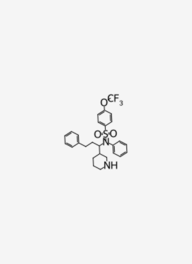 O=S(=O)(c1ccc(OC(F)(F)F)cc1)N(c1ccccc1)C(CCc1ccccc1)C1CCCNC1